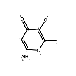 Cc1occc(=O)c1O.[AlH3]